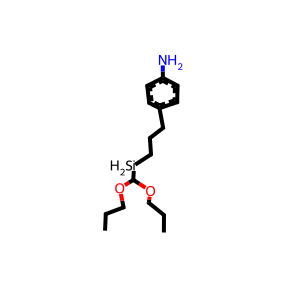 CCCOC(OCCC)[SiH2]CCCc1ccc(N)cc1